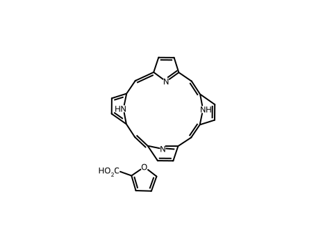 C1=Cc2cc3ccc(cc4nc(cc5ccc(cc1n2)[nH]5)C=C4)[nH]3.O=C(O)c1ccco1